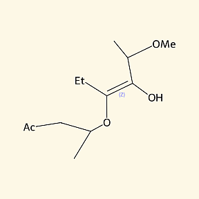 CC/C(OC(C)CC(C)=O)=C(/O)C(C)OC